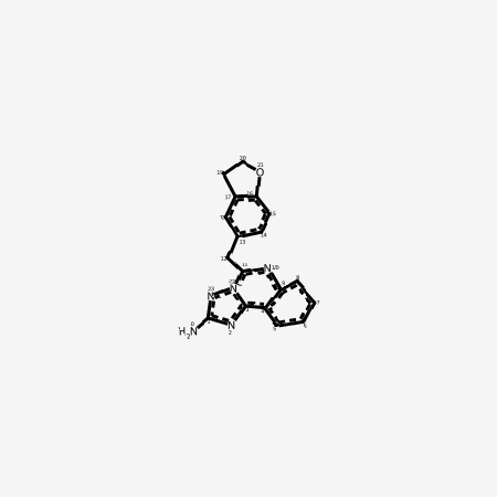 Nc1nc2c3ccccc3nc(Cc3ccc4c(c3)CCO4)n2n1